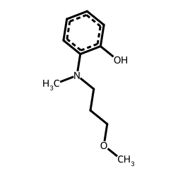 COCCCN(C)c1ccccc1O